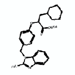 CCCCc1nc2ccccc2n1Cc1ccc(OC(CC2CCCCC2)C(=O)OC)cc1